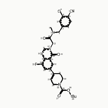 CN(Cc1ccc(C#N)c(Cl)c1)C(=O)Cn1cnc2c(F)cc(C3=CCN(C(=O)OC(C)(C)C)CC3)cc2c1=O